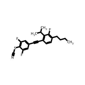 CCCCc1ccc(C#Cc2cc(F)c(SC#N)c(F)c2)c(C(C)C)c1F